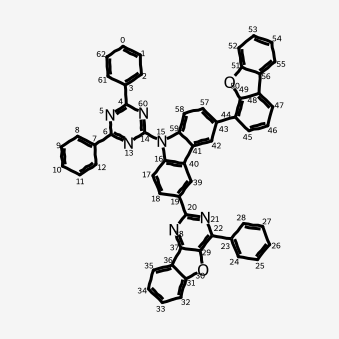 c1ccc(-c2nc(-c3ccccc3)nc(-n3c4ccc(-c5nc(-c6ccccc6)c6oc7ccccc7c6n5)cc4c4cc(-c5cccc6c5oc5ccccc56)ccc43)n2)cc1